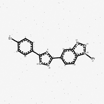 CCc1ccc(-c2nc(-c3ccc4c(c3)nnn4C(C)C)no2)cc1